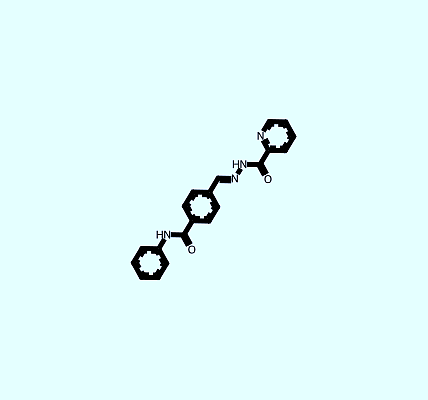 O=C(Nc1ccccc1)c1ccc(/C=N/NC(=O)c2ccccn2)cc1